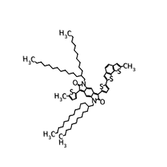 CCCCCCCCCCCCC(CCCCCCCCCC)CN1C(=O)C(c2ccc(C)s2)=c2cc3c(cc21)=C(c1ccc(-c2cc4ccc5cc(C)sc5c4s2)s1)C(=O)N3CC(CCCCCCCCCC)CCCCCCCCCCCC